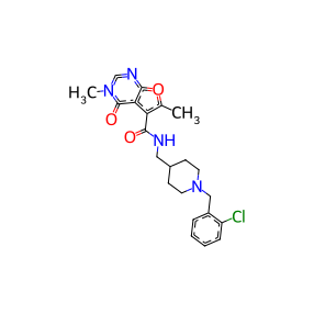 Cc1oc2ncn(C)c(=O)c2c1C(=O)NCC1CCN(Cc2ccccc2Cl)CC1